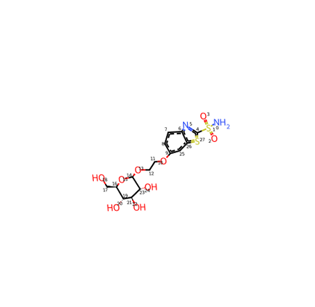 NS(=O)(=O)c1nc2ccc(OCCO[C@@H]3O[C@H](CO)[C@@H](O)[C@H](O)[C@H]3O)cc2s1